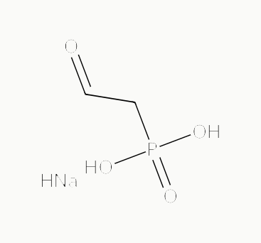 O=CCP(=O)(O)O.[NaH]